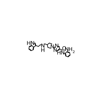 Nc1ccccc1NC(=O)c1cnc(N2CCC(CNCCc3c[nH]c4ccccc34)CC2)nc1